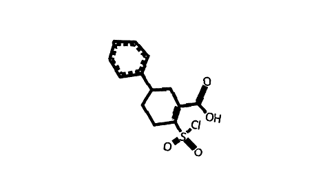 O=C(O)C1=C(S(=O)(=O)Cl)CCC(c2ccccc2)C1